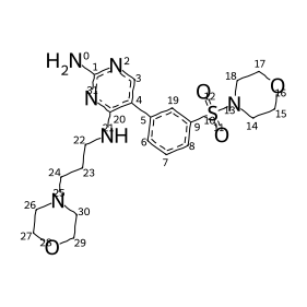 Nc1ncc(-c2cccc(S(=O)(=O)N3CCOCC3)c2)c(NCCCN2CCOCC2)n1